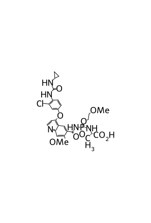 COCCOP(=O)(NC(=O)c1cc2c(Oc3ccc(NC(=O)NC4CC4)c(Cl)c3)ccnc2cc1OC)N[C@@H](C)C(=O)O